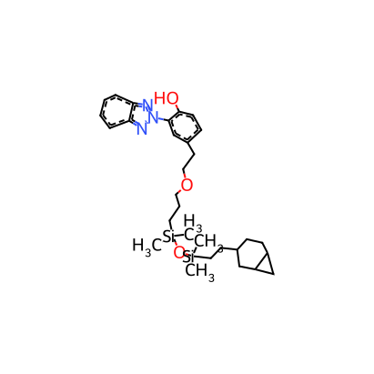 C[Si](C)(CCCOCCc1ccc(O)c(-n2nc3ccccc3n2)c1)O[Si](C)(C)CCC1CCC2CC2C1